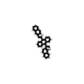 c1ccc2cc3oc(-c4c5ccccc5c(-c5coc6c5ccc5ccccc56)c5ccccc45)cc3cc2c1